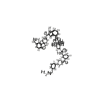 NCc1cccc(C2CCN(C(=O)c3cccc(NC(=O)[C@@H]4C[C@@H]5C[C@H]4[C@@H]4OB(c6cccc7[nH]c(C(=O)N8CCC9(CC8)COc8ccc(CN)cc89)cc67)O[C@H]54)c3)CC2)c1